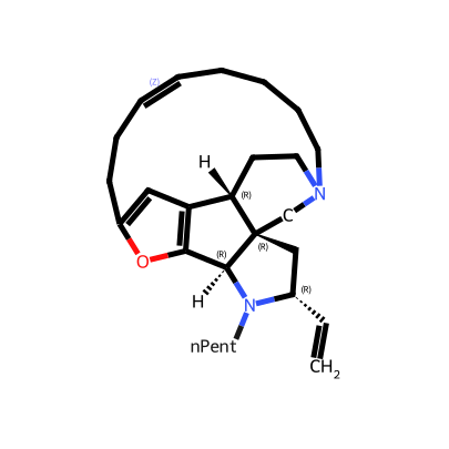 C=C[C@H]1C[C@@]23CN4CCCC/C=C\CCc5cc(c(o5)[C@@H]2N1CCCCC)[C@@H]3CC4